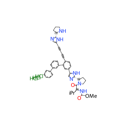 COC(=O)N[C@H](C(=O)N1CCC[C@H]1c1ncc(-c2ccc(C#CC#Cc3cnc([C@@H]4CCCN4)[nH]3)c(-c3cccc(-c4ccccc4)c3)c2)[nH]1)C(C)C.Cl.Cl.Cl